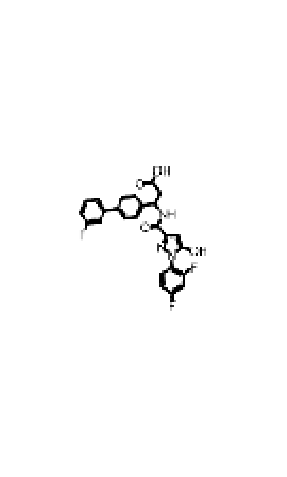 O=C(O)CC(NC(=O)c1cc(O)n(-c2ccc(F)cc2F)n1)c1ccc(-c2cccc(F)c2)cc1